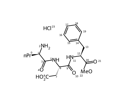 CCC[C@@H](N)C(=O)N[C@@H](CC(=O)O)C(=O)N[C@@H](Cc1ccccc1)C(=O)OC.Cl